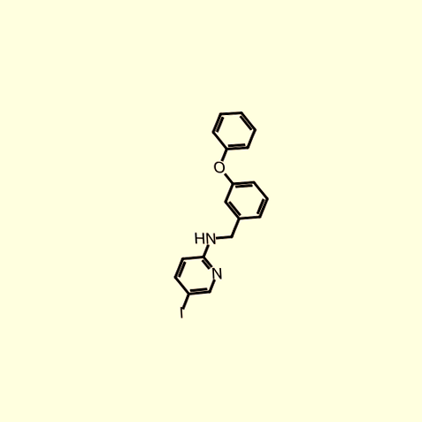 Ic1ccc(NCc2cccc(Oc3ccccc3)c2)nc1